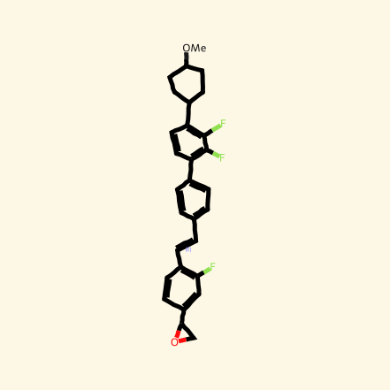 COC1CCC(c2ccc(-c3ccc(/C=C/c4ccc(C5CO5)cc4F)cc3)c(F)c2F)CC1